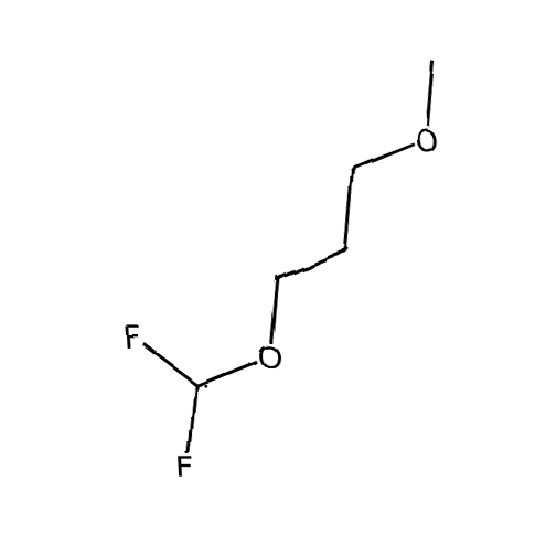 COCCCO[C](F)F